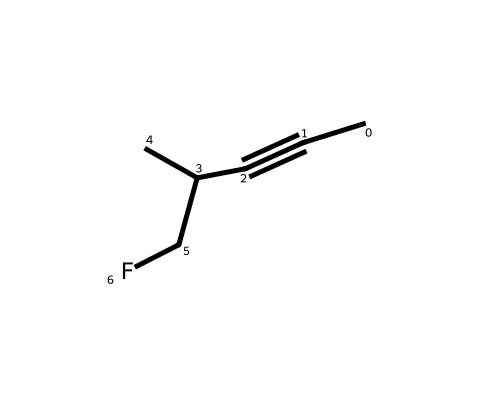 CC#CC(C)CF